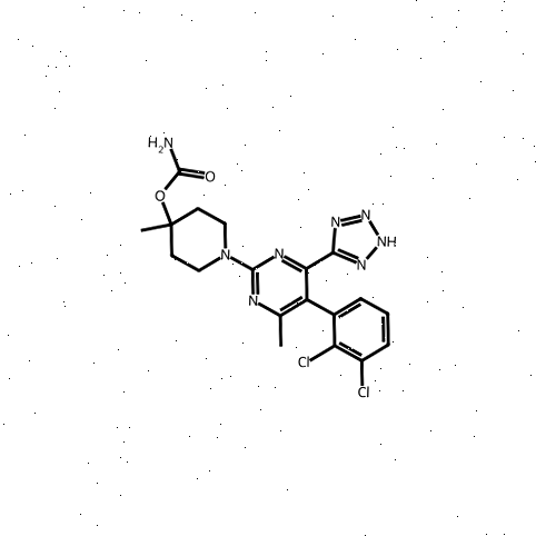 Cc1nc(N2CCC(C)(OC(N)=O)CC2)nc(-c2nn[nH]n2)c1-c1cccc(Cl)c1Cl